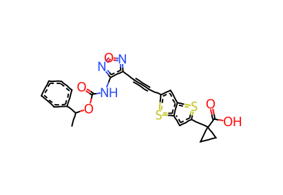 CC(OC(=O)Nc1nonc1C#Cc1cc2sc(C3(C(=O)O)CC3)cc2s1)c1ccccc1